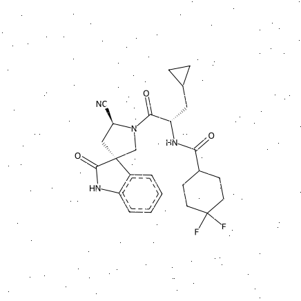 N#C[C@@H]1C[C@@]2(CN1C(=O)[C@H](CC1CC1)NC(=O)C1CCC(F)(F)CC1)C(=O)Nc1ccccc12